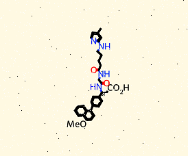 COc1ccc(-c2ccc([C@H](CC(=O)O)NC(=O)CNC(=O)CCCCNc3cc(C)ccn3)cc2)c2ccccc12